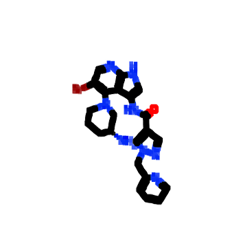 N[C@@H]1CCCN(c2c(Br)cnc3[nH]cc(NC(=O)c4cnn(Cc5ccccn5)c4)c23)C1